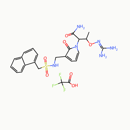 CC(ON=C(N)N)C(C(N)=O)n1cccc(CNS(=O)(=O)Cc2cccc3ccccc23)c1=O.O=C(O)C(F)(F)F